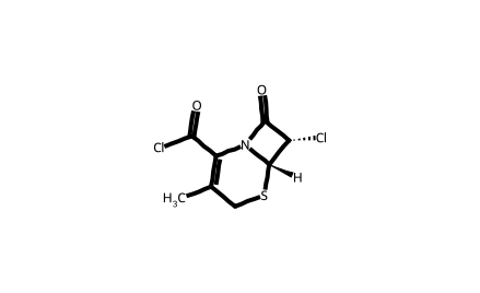 CC1=C(C(=O)Cl)N2C(=O)[C@H](Cl)[C@@H]2SC1